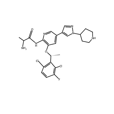 CC(N)C(=O)Nc1ncc(-c2cnn(C3CCNCC3)c2)cc1O[C@H](C)c1c(Cl)ccc(F)c1Cl